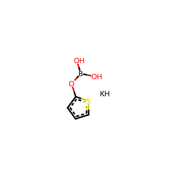 OB(O)Oc1cccs1.[KH]